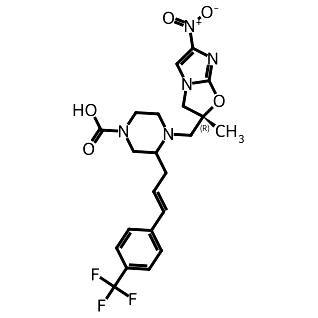 C[C@@]1(CN2CCN(C(=O)O)CC2CC=Cc2ccc(C(F)(F)F)cc2)Cn2cc([N+](=O)[O-])nc2O1